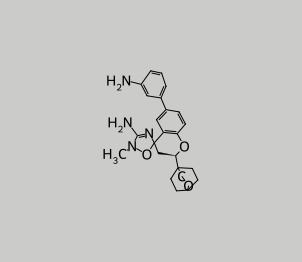 CN1OC2(C[C@H](C34CCC(CC3)OC4)Oc3ccc(-c4cccc(N)c4)cc32)N=C1N